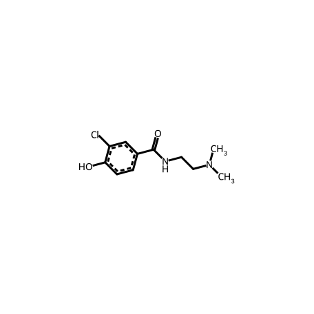 CN(C)CCNC(=O)c1ccc(O)c(Cl)c1